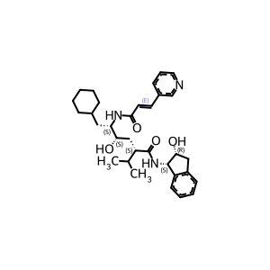 CC(C)[C@H](C[C@H](O)[C@H](CC1CCCCC1)NC(=O)/C=C/c1cccnc1)C(=O)N[C@H]1c2ccccc2C[C@H]1O